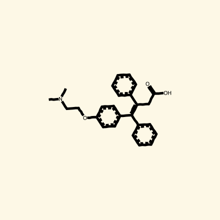 CN(C)CCOc1ccc(C(=C(CC(=O)O)c2ccccc2)c2ccccc2)cc1